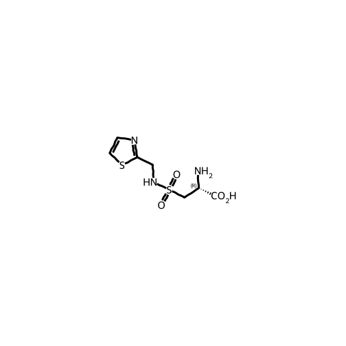 N[C@@H](CS(=O)(=O)NCc1nccs1)C(=O)O